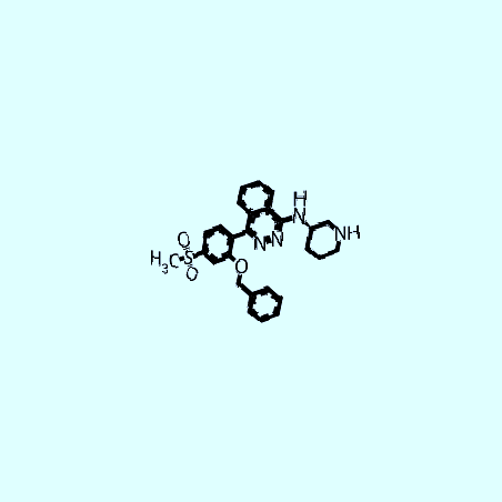 CS(=O)(=O)c1ccc(-c2nnc(N[C@@H]3CCCNC3)c3ccccc23)c(OCc2ccccc2)c1